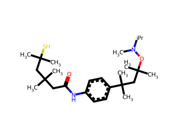 CC(C)N(C)OC(C)(C)CC(C)(C)c1ccc(NC(=O)CC(C)(C)CC(C)(C)S)cc1